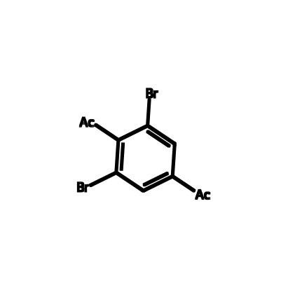 CC(=O)c1cc(Br)c(C(C)=O)c(Br)c1